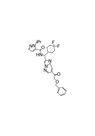 CC(C)n1nccc1C(=O)NC(c1cn2ncc(C(=O)COCc3ccccc3)cc2n1)C1CCC(F)(F)CC1